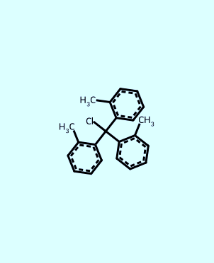 Cc1ccccc1C(Cl)(c1ccccc1C)c1ccccc1C